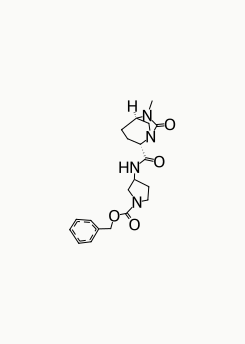 CN1C(=O)N2C[C@H]1CC[C@H]2C(=O)NC1CCN(C(=O)OCc2ccccc2)C1